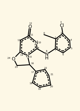 Cc1c(Cl)cccc1Nc1nc(=O)cc2n1C(c1ccccc1)CO2